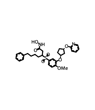 COc1ccc(S(=O)(=O)C(CCCCc2ccccc2)CC(=O)NO)cc1O[C@H]1CC[C@H](Oc2ccccn2)C1